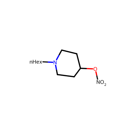 CCCCCCN1CCC(O[N+](=O)[O-])CC1